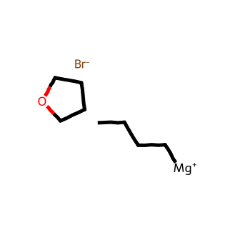 C1CCOC1.CCC[CH2][Mg+].[Br-]